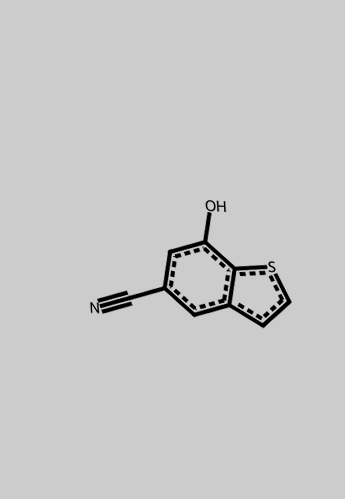 N#Cc1cc(O)c2sccc2c1